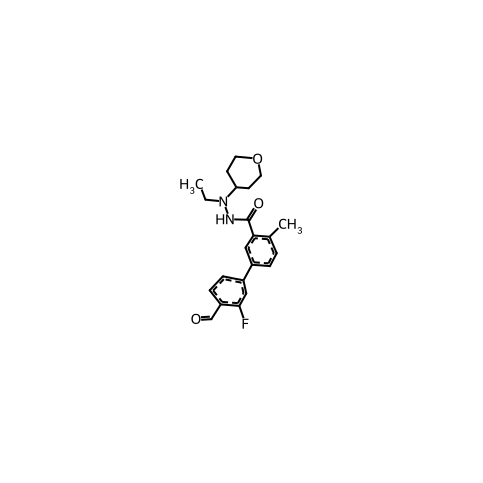 CCN(NC(=O)c1cc(-c2ccc(C=O)c(F)c2)ccc1C)C1CCOCC1